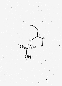 CCC(CC)CNC(=O)O